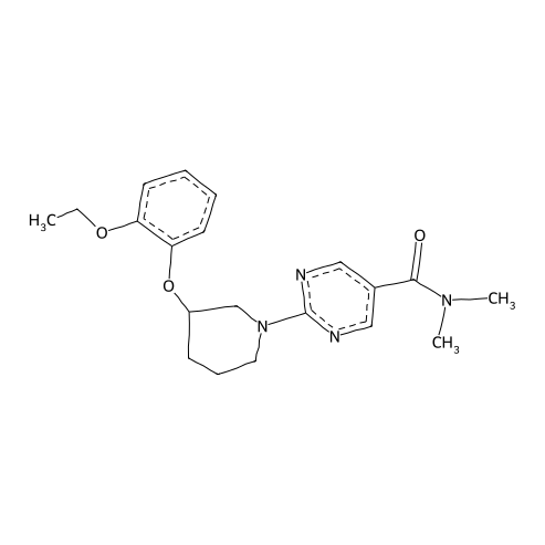 CCOc1ccccc1OC1CCCN(c2ncc(C(=O)N(C)C)cn2)C1